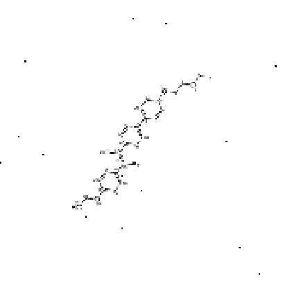 CCOCCOc1ccc(-c2ccc(/C(F)=C(\F)c3ccc(OCO)cc3)cc2)cc1